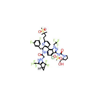 CC(C)(CCc1ccc(-c2ccc(Cl)c3c(N(C(=O)N4CCC[C@H]4CO)S(C)(=O)=O)nn(CC(F)(F)F)c23)c([C@H](Cc2cc(F)cc(F)c2)NC(=O)Cn2nc(C(F)(F)F)c3c2C(F)(F)C2C[C@H]32)n1)S(C)(=O)=O